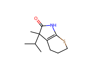 CC(C)C1(C)C(=O)NC2=C1CCCS2